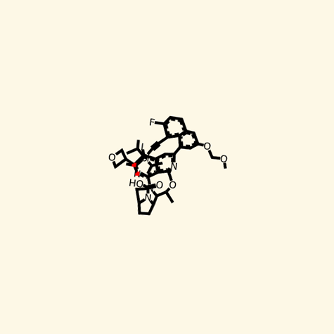 COCOc1cc(-c2cc3c(I)c(C4COC4)nc4c3c(n2)OC(C)C2C3CCC(CN42)N3C(=O)O)c2c(C#C[Si](C(C)C)(C(C)C)C(C)C)c(F)ccc2c1